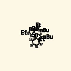 CCCCC(CC)[CH2][Sn]([CH2]C(CC)CCCC)([CH2]C(CC)CCCC)[c]1ccccc1